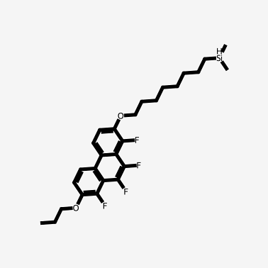 CCCOc1ccc2c(c1F)c(F)c(F)c1c(F)c(OCCCCCCCC[SiH](C)C)ccc12